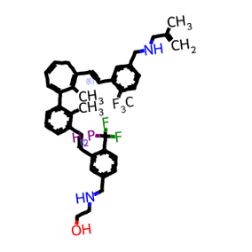 C=C(C)CNCc1ccc(C(F)(F)F)c(/C=C/C2=C(C)C(c3cccc(/C=C/c4cc(CNCCO)ccc4C(F)(F)P)c3C)=CC=CC2)c1